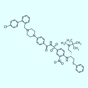 CN(CC[C@H](CSc1ccccc1)Nc1ccc(S(=O)(=O)NC(=O)c2ccc(N3CCN(Cc4ccccc4-c4ccc(Cl)cc4)CC3)cc2)cc1[N+](=O)[O-])C(C)(C)C